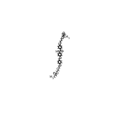 C=CC(=O)OCCOCCOc1ccc(COc2ccc(NC(=O)c3ccc(OCCCCOCC4(C)COC4)cc3)cc2)cc1